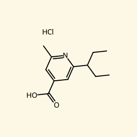 CCC(CC)c1cc(C(=O)O)cc(C)n1.Cl